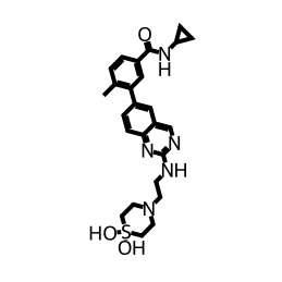 Cc1ccc(C(=O)NC2CC2)cc1-c1ccc2nc(NCCN3CCS(O)(O)CC3)ncc2c1